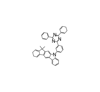 CC1(C)C2=CCCC=C2c2cc3c4ccccc4n(-c4cccc(-c5nc(C6=CCCC=C6)nc(-c6ccccc6)n5)c4)c3cc21